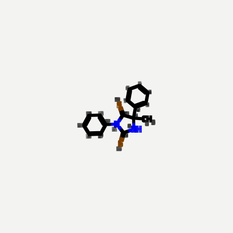 CC1(c2ccccc2)NC(=S)N(c2ccccc2)C1=S